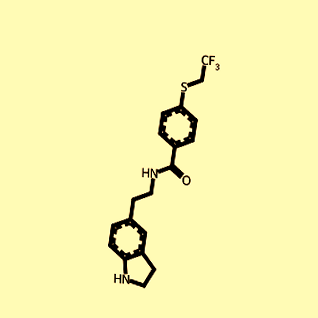 O=C(NCCc1ccc2c(c1)CCN2)c1ccc(SCC(F)(F)F)cc1